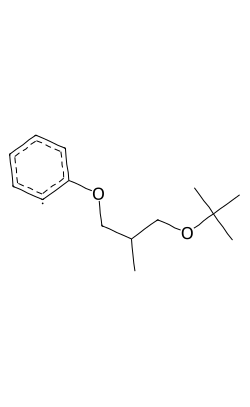 CC(COc1[c]cccc1)COC(C)(C)C